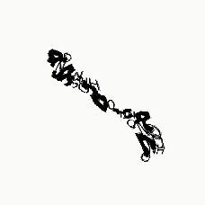 Cc1ccccc1C(=O)N1CCc2cc(-c3nc(NC(=O)Cc4cccc(OCCCN5CCN(c6cccc7c6C(=O)N(C6CCC(=O)NC6=O)C7=O)CC5)c4)sc3C)ccc21